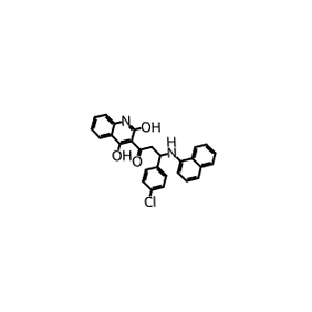 O=C(CC(Nc1cccc2ccccc12)c1ccc(Cl)cc1)c1c(O)nc2ccccc2c1O